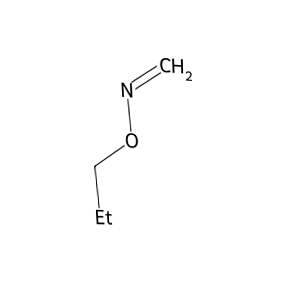 C=NOCCC